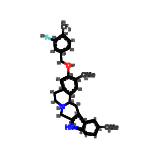 COc1ccc2[nH]c3c(c2c1)CC1c2cc(OC)c(OCc4ccc(C(F)(F)F)c(F)c4)cc2CCN1C3